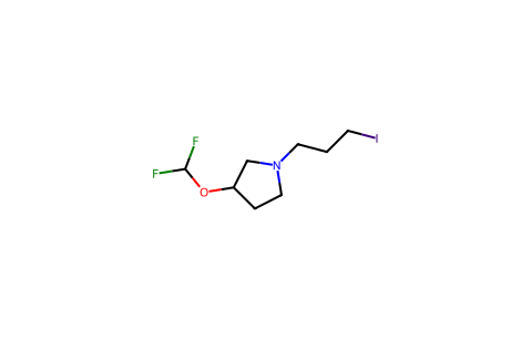 FC(F)OC1CCN(CCCI)C1